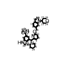 CC(C)(C)OC(=O)c1cc(C(c2cccc(OCc3ccc4cnn(C5CCOCC5)c4c3)n2)N2CCCCC2)c2nc[nH]c2c1